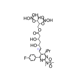 CC(C)c1nc(N(C)S(C)(=O)=O)nc(-c2ccc(F)cc2)c1/C=C/C(O)CC(O)CC(=O)OCC(ON(O)O)C(C)ON(O)O